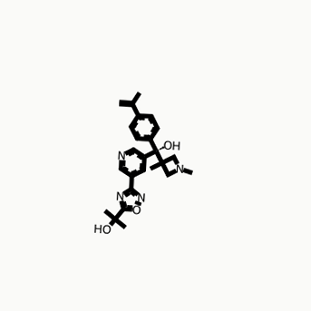 C=C(C)c1ccc([C@](O)(c2cncc(-c3noc(C(C)(C)O)n3)c2)C2(C)CN(C)C2)cc1